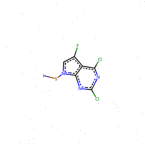 Fc1cn(SI)c2nc(Cl)nc(Cl)c12